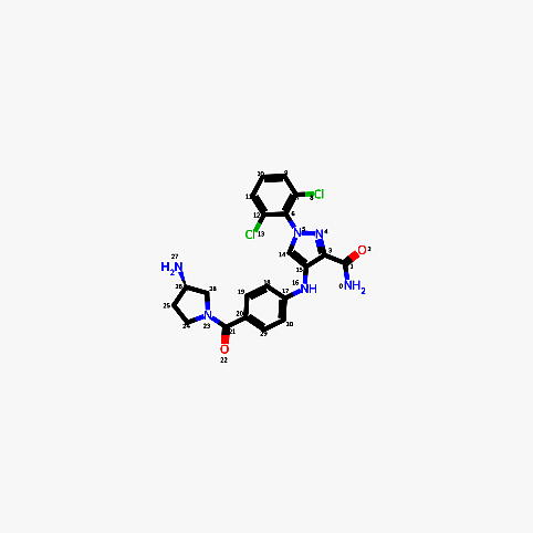 NC(=O)c1nn(-c2c(Cl)cccc2Cl)cc1Nc1ccc(C(=O)N2CC[C@@H](N)C2)cc1